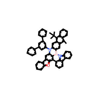 Cc1c2ccccc2c(C(C)(C)C)c2cc3c(cc12)B1c2c(cc4c(oc5ccccc54)c2-c2cccc4c5ccccc5n1c24)N3c1cc(-c2ccccc2)cc(-c2ccccc2)c1